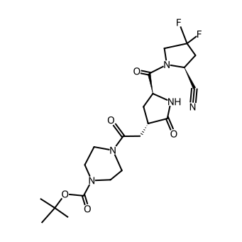 CC(C)(C)OC(=O)N1CCN(C(=O)C[C@@H]2C[C@@H](C(=O)N3CC(F)(F)C[C@H]3C#N)NC2=O)CC1